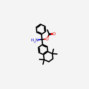 CC(=O)OC(N)(c1ccccc1)c1ccc2c(c1)C(C)(C)CCC2(C)C